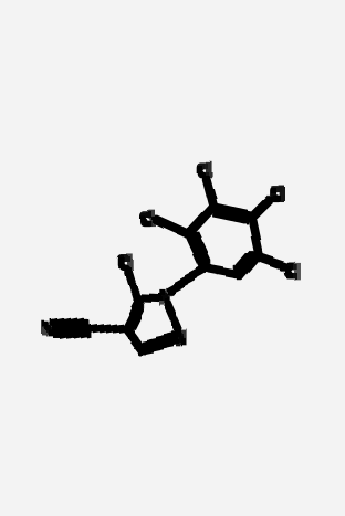 N#Cc1cnn(-c2cc(Cl)c(Cl)c(Cl)c2Cl)c1Cl